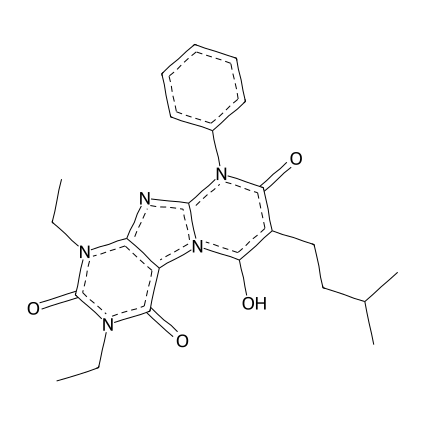 CCn1c(=O)c2c(nc3n(-c4ccccc4)c(=O)c(CCC(C)C)c(O)n23)n(CC)c1=O